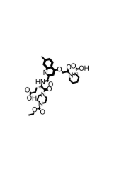 CCOC(=O)N1CCN(C(=O)[C@H](CCC(=O)O)NC(=O)c2cc(OCC(=O)N3CCCC[C@H]3C(=O)O)c3ccc(C)cc3n2)CC1